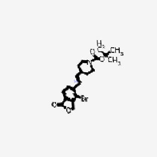 CC(C)(C)OC(=O)N1CCC(/C=C/c2ccc3c(c2Br)COC3=O)CC1